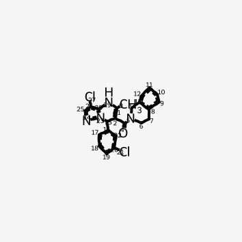 CC1=C(C(=O)N2CCc3ccccc3C2)C(c2cccc(Cl)c2)n2ncc(Cl)c2N1